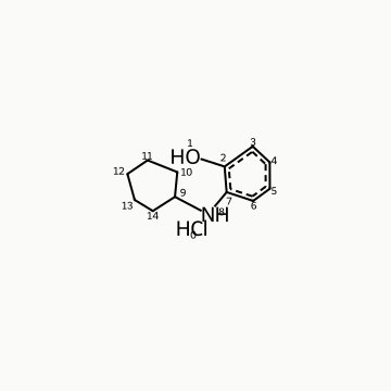 Cl.Oc1ccccc1NC1CCCCC1